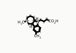 Cc1ccc2c(c1)[C@H]1CN(C)CCC[C@@H]1N2CCCC(=O)O